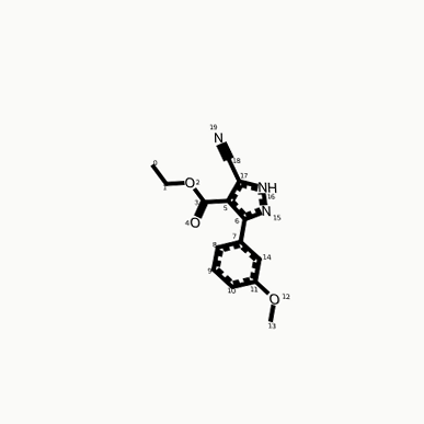 CCOC(=O)c1c(-c2cccc(OC)c2)n[nH]c1C#N